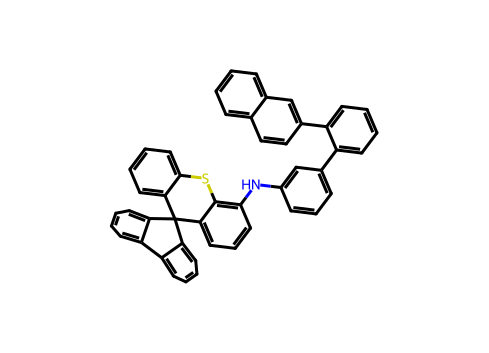 c1cc(Nc2cccc3c2Sc2ccccc2C32c3ccccc3-c3ccccc32)cc(-c2ccccc2-c2ccc3ccccc3c2)c1